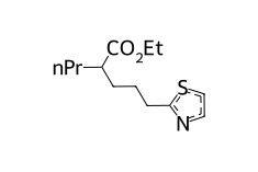 CCCC(CCCc1nccs1)C(=O)OCC